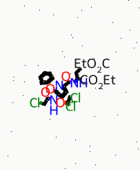 CCOC(=O)CCC(NC(=O)c1ccc(NC(=O)CCl)c(Oc2ccccc2)n1)C(=O)OCC.O=C(Cl)CCl